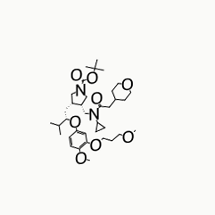 COCCCOc1cc(O[C@@H](C[C@@H]2CN(C(=O)OC(C)(C)C)C[C@@H]2CN(C(=O)CC2CCOCC2)C2CC2)C(C)C)ccc1OC